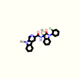 CC(=O)n1c2ccccc2c2cc(C(=O)N[C@]3(C)C(=O)N(c4ccccc4F)c4ccccc43)ncc21